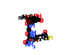 CCCC1O[C@@H]2C[C@H]3[C@@H]4CCC5=CC(=O)C=C[C@]5(C)[C@H]4[C@@H](O)C[C@]3(C)[C@]2(C(=O)COC(=O)NCc2ccc(NC(=O)[C@H](CCCNC(N)=O)NC(=O)C(NC(=O)CCCCCN3C(=O)CC(S)C3(C)CC)C(C)C)cc2)O1